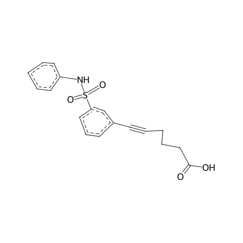 O=C(O)CCCC#Cc1cccc(S(=O)(=O)Nc2ccccc2)c1